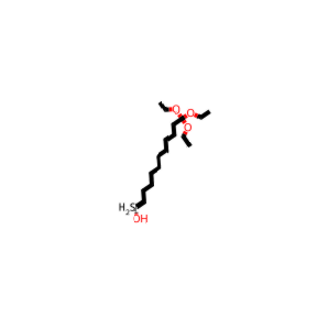 CCOC(CCCCCCCCCC[SiH2]O)(OCC)OCC